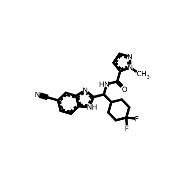 Cn1nccc1C(=O)NC(c1nc2cc(C#N)ccc2[nH]1)C1CCC(F)(F)CC1